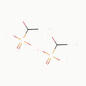 O=C(O)C(O)P(=O)(O)O.O=C(O)C(O)P(=O)(O)O